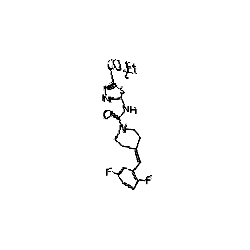 CCOC(=O)c1cnc(NC(=O)N2CCC(=Cc3cc(F)ccc3F)CC2)s1